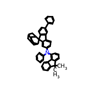 CC1(C)c2ccccc2-c2c(N(c3ccccc3)c3ccc4c(c3)C3(c5ccc(-c6ccccc6)cc5-4)C4CC5CC(C4)CC3C5)cccc21